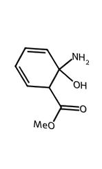 COC(=O)C1C=CC=CC1(N)O